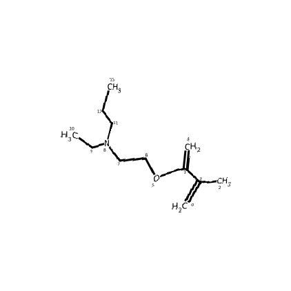 C=C(C)C(=C)OCCN(CC)CCC